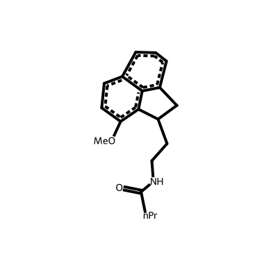 CCCC(=O)NCCC1Cc2cccc3ccc(OC)c1c23